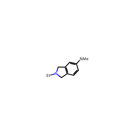 CCN1Cc2ccc(NC)cc2C1